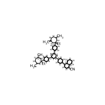 CCC1(c2ccc(-c3cc(-c4ccc(-c5ccc(C#N)c6ccccc56)cc4)nc(-c4ccc(C5(CC)CC(C)CC[C@H](C)C5)cc4)n3)cc2)CC(C)CC[C@H](C)C1